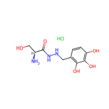 Cl.N[C@@H](CO)C(=O)NNCc1ccc(O)c(O)c1O